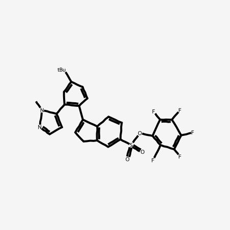 Cn1nccc1-c1cc(C(C)(C)C)ccc1C1=CCc2cc(S(=O)(=O)Oc3c(F)c(F)c(F)c(F)c3F)ccc21